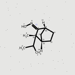 CC(C)[C@]1(C)/C(=N\O)[C@@H]2CC[C@H]1C2